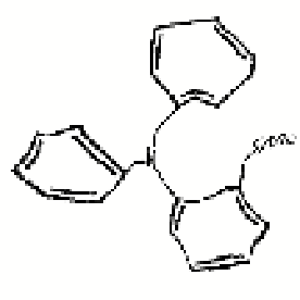 CSc1ccccc1N(c1ccccc1)c1ccccc1